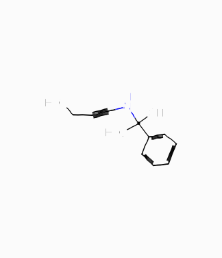 CCC#CNC(C)(C)c1ccccc1